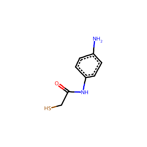 Nc1ccc(NC(=O)CS)cc1